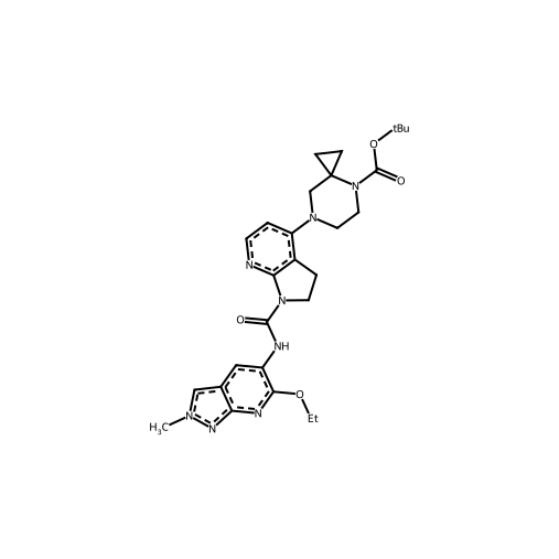 CCOc1nc2nn(C)cc2cc1NC(=O)N1CCc2c(N3CCN(C(=O)OC(C)(C)C)C4(CC4)C3)ccnc21